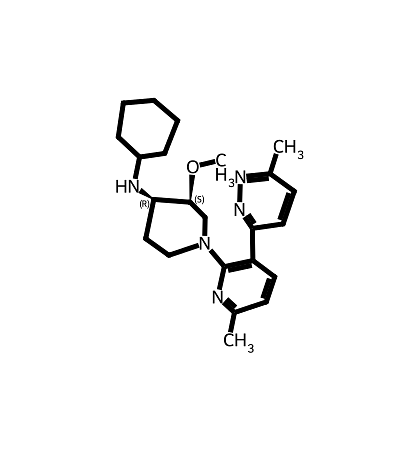 CO[C@H]1CN(c2nc(C)ccc2-c2ccc(C)nn2)CC[C@H]1NC1CCCCC1